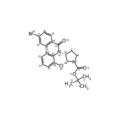 CC(C)(C)OC(=O)N1CC[C@@H](N(C(=O)c2ccc(Br)cc2)c2ncccc2Cl)C1